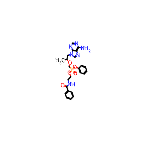 CC(Cn1cnc2c(N)ncnc21)OCP(=O)(OCCNC(=O)c1ccccc1)Oc1ccccc1